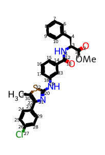 COC(=O)[C@H](Cc1ccccc1)NC(=O)c1cccc(Nc2nc(-c3ccc(Cl)cc3)c(C)s2)c1